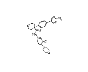 Nc1ncc(-c2ccc(C3(C(=O)Nc4ccc(N5CCOCC5)c(Cl)c4)CCOCC3)cc2)cn1